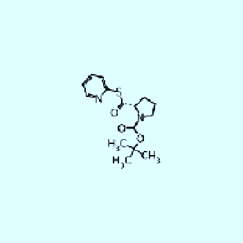 CC(C)(C)OC(=O)N1CCC[C@H]1C(=O)Sc1ccccn1